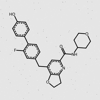 O=C(NC1CCOCC1)c1cc(Cc2ccc(-c3ccc(O)cc3)c(F)c2)c2c(n1)CCO2